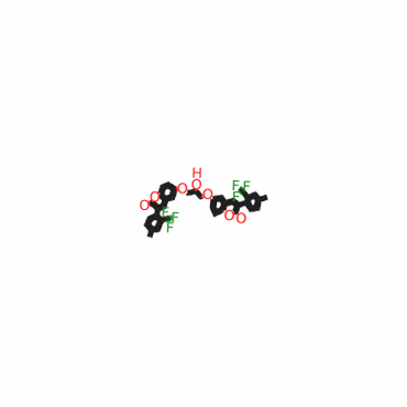 Cc1ccc(-c2cc3cc(OCC(O)COc4ccc5oc(=O)c(-c6ccc(C)cc6C(F)(F)F)cc5c4)ccc3oc2=O)c(C(F)(F)F)c1